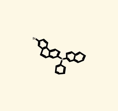 Brc1ccc2c(ccc3cc(N(c4ccccc4)c4ccc5ccccc5c4)ccc32)c1